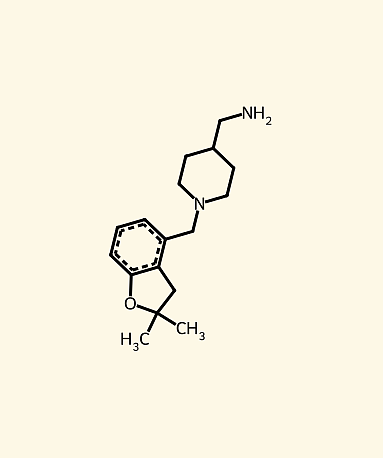 CC1(C)Cc2c(CN3CCC(CN)CC3)cccc2O1